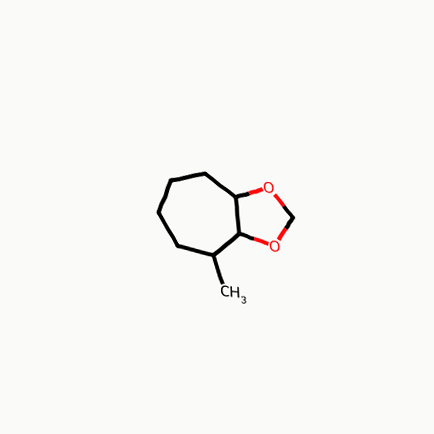 CC1CCCCC2OCOC12